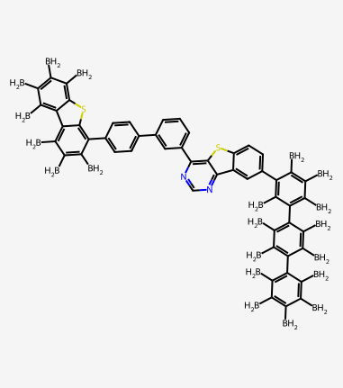 Bc1c(B)c(B)c(-c2c(B)c(B)c(-c3c(B)c(B)c(B)c(-c4ccc5sc6c(-c7cccc(-c8ccc(-c9c(B)c(B)c(B)c%10c9sc9c(B)c(B)c(B)c(B)c9%10)cc8)c7)ncnc6c5c4)c3B)c(B)c2B)c(B)c1B